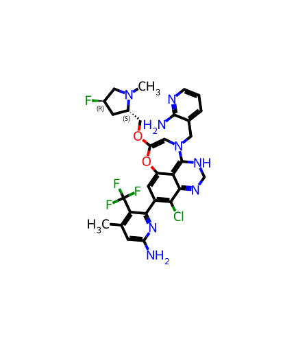 Cc1cc(N)nc(-c2cc3c4c(c2Cl)=NCNC=4N(Cc2cccnc2N)C=C(OC[C@@H]2C[C@@H](F)CN2C)O3)c1C(F)(F)F